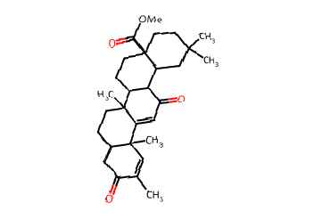 COC(=O)C12CCC3C(C(=O)C=C4C5(C)C=C(C)C(=O)CC5CCC43C)C1CC(C)(C)CC2